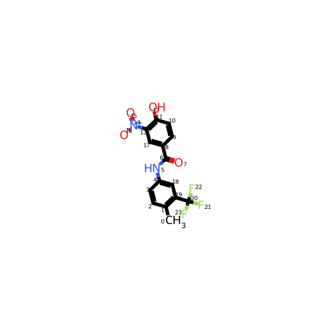 Cc1ccc(NC(=O)c2ccc(O)c([N+](=O)[O-])c2)cc1C(F)(F)F